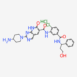 Cl.NC1CCN(c2ncc3cc(C(=O)Nc4cc(C(=O)NC(CCO)c5ccccc5)ccc4Cl)c(=O)[nH]c3n2)CC1